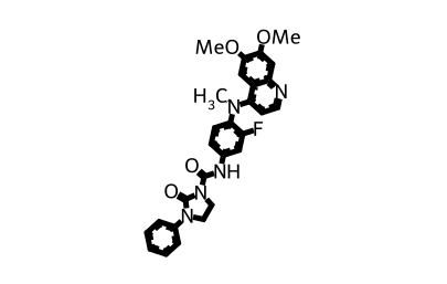 COc1cc2nccc(N(C)c3ccc(NC(=O)N4CCN(c5ccccc5)C4=O)cc3F)c2cc1OC